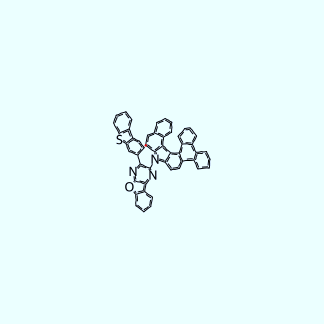 c1ccc2c(c1)ccc1c2c2c3c4ccccc4c4ccccc4c3ccc2n1-c1nc2c(nc1-c1ccc3c(c1)sc1ccccc13)oc1ccccc12